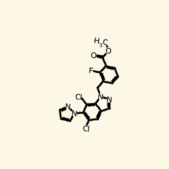 COC(=O)c1cccc(Cn2ncc3cc(Cl)c(-n4cccn4)c(Cl)c32)c1F